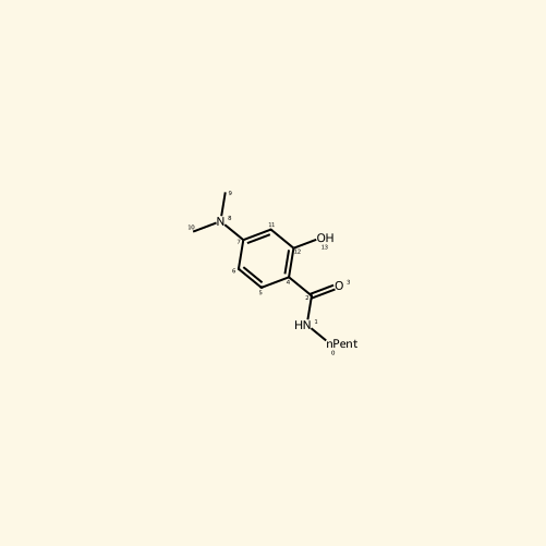 CCCCCNC(=O)c1ccc(N(C)C)cc1O